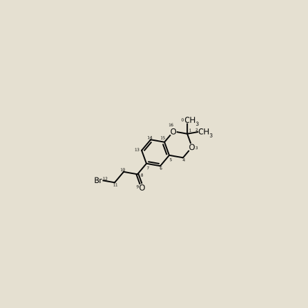 CC1(C)OCc2cc(C(=O)CCBr)ccc2O1